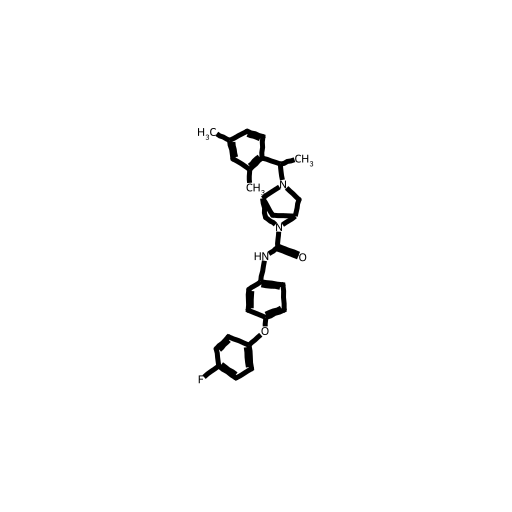 Cc1ccc(C(C)N2CC3CC2CN3C(=O)Nc2ccc(Oc3ccc(F)cc3)cc2)c(C)c1